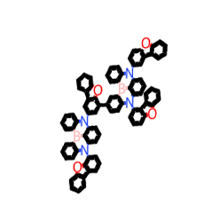 c1ccc2c(c1)B1c3ccccc3N(c3cccc4c3oc3ccccc34)c3cccc(c31)N2c1cc(-c2ccc3c(c2)B2c4ccccc4N(c4ccc5oc6ccccc6c5c4)c4cccc(c42)N3c2cccc3oc4ccccc4c23)c2oc3ccccc3c2c1